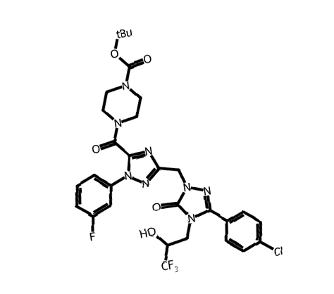 CC(C)(C)OC(=O)N1CCN(C(=O)c2nc(Cn3nc(-c4ccc(Cl)cc4)n(CC(O)C(F)(F)F)c3=O)nn2-c2cccc(F)c2)CC1